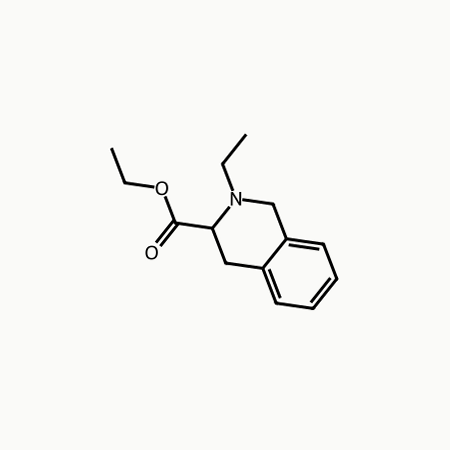 CCOC(=O)C1Cc2ccccc2CN1CC